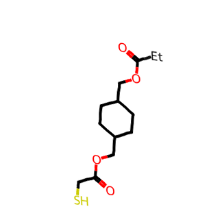 CCC(=O)OCC1CCC(COC(=O)CS)CC1